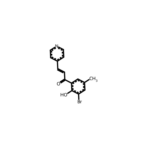 Cc1cc(Br)c(O)c(C(=O)/C=C/c2ccncc2)c1